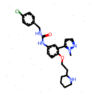 Cn1nccc1-c1cc(NC(=O)NCc2ccc(Cl)cc2)ccc1OCCC1CCCCN1